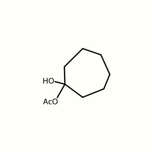 CC(=O)OC1(O)CCCCCC1